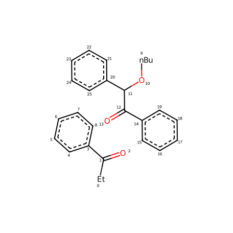 CCC(=O)c1ccccc1.CCCCOC(C(=O)c1ccccc1)c1ccccc1